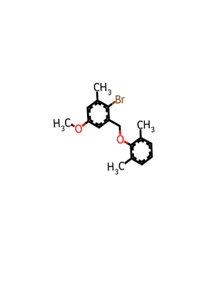 COc1cc(C)c(Br)c(COc2c(C)cccc2C)c1